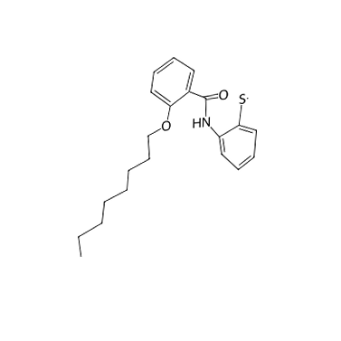 CCCCCCCCOc1ccccc1C(=O)Nc1ccccc1[S]